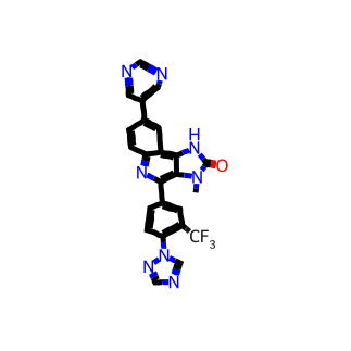 Cn1c(=O)[nH]c2c3cc(-c4cncnc4)ccc3nc(-c3ccc(-n4cncn4)c(C(F)(F)F)c3)c21